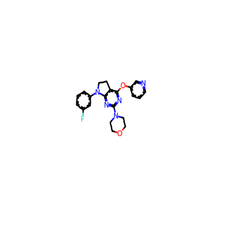 Fc1cccc(N2CCc3c(Oc4cccnc4)nc(N4CCOCC4)nc32)c1